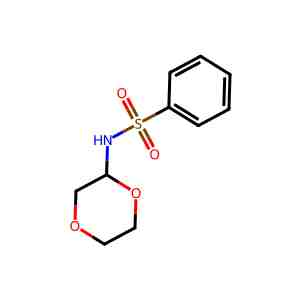 O=S(=O)(NC1COCCO1)c1ccccc1